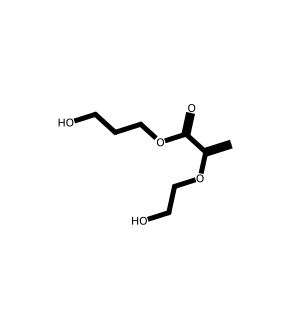 C=C(OCCO)C(=O)OCCCO